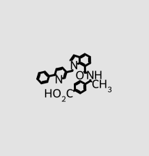 C[C@H](NC(=O)c1cccc2ccn(Cc3ccc(-c4ccccc4)nc3)c12)c1ccc(C(=O)O)cc1